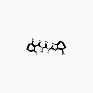 O=C(NC(=O)c1c(F)cccc1F)Nc1nc2c(Br)cccc2o1